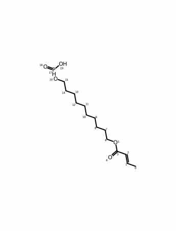 CC=CC(=O)OCCCCCCCCCCO[PH](=O)O